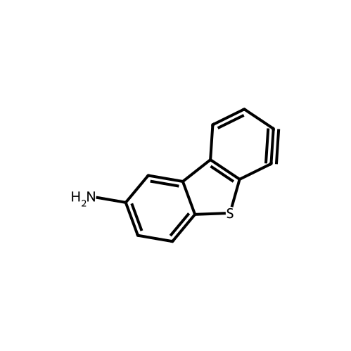 Nc1ccc2sc3c#cccc3c2c1